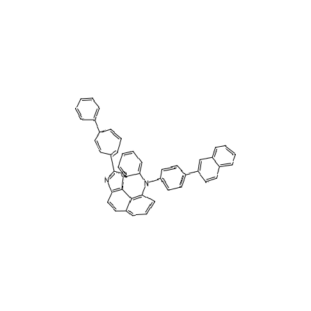 C1=CC(c2ccccc2)C=CC(c2nc3ccc4cccc(N(c5ccccc5)c5ccc(-c6ccc7ccccc7c6)cc5)c4c3o2)=C1